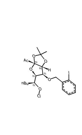 CCCC[C@H](OCl)[C@H]1O[C@]2(C(C)=O)OC(C)(C)O[C@@H]2[C@H]1OCc1ccccc1I